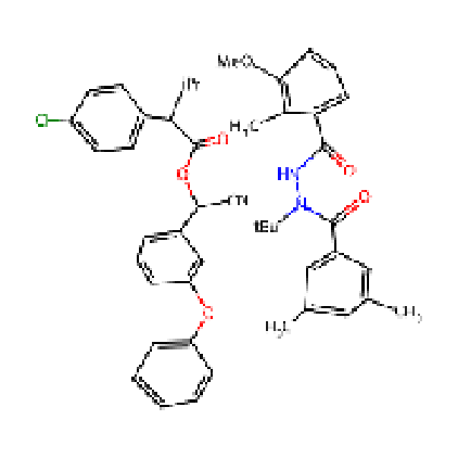 CC(C)C(C(=O)OC(C#N)c1cccc(Oc2ccccc2)c1)c1ccc(Cl)cc1.COc1cccc(C(=O)NN(C(=O)c2cc(C)cc(C)c2)C(C)(C)C)c1C